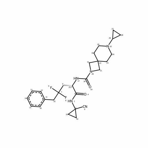 N#CC1(NC(=O)[C@H](CC(F)(F)Cc2ccccc2)NC(=O)N2CC3(CCN(C4CC4)CC3)C2)CC1